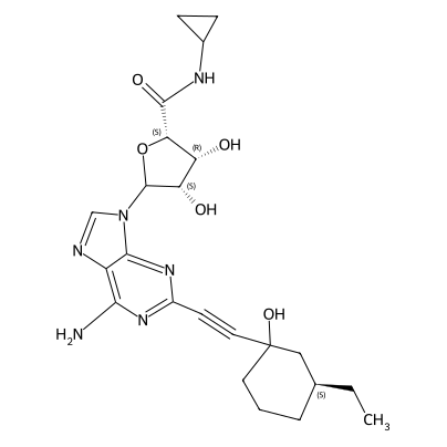 CC[C@H]1CCCC(O)(C#Cc2nc(N)c3ncn(C4O[C@H](C(=O)NC5CC5)[C@H](O)[C@@H]4O)c3n2)C1